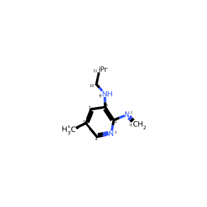 C=Nc1ncc(C)cc1NCC(C)C